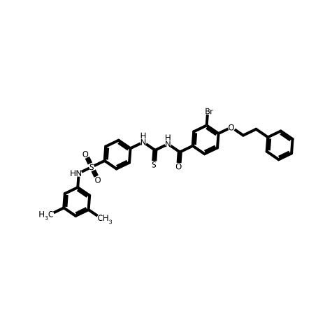 Cc1cc(C)cc(NS(=O)(=O)c2ccc(NC(=S)NC(=O)c3ccc(OCCc4ccccc4)c(Br)c3)cc2)c1